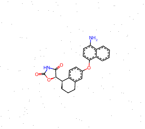 Nc1ccc(Oc2ccc3c(c2)CCC[C@H]3[C@H]2OC(=O)NC2=O)c2ccccc12